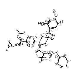 CCC[C@H](NC(=O)[C@@H]1C[C@]2(CC(c3cc(Cl)c(OC)cc3O)=NO2)CN1C(=O)[C@@H](NC(=O)CC1CCCCC1)C(C)(C)C)C(=O)C(=O)NC1CC1